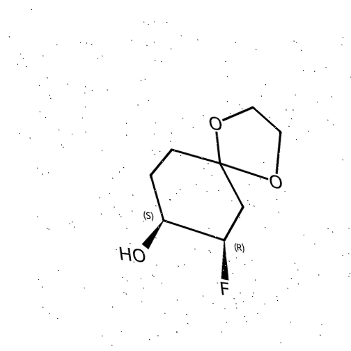 O[C@H]1CCC2(C[C@H]1F)OCCO2